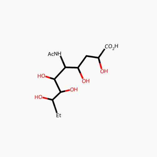 CCC(O)C(O)C(O)C(NC(C)=O)C(O)CC(O)C(=O)O